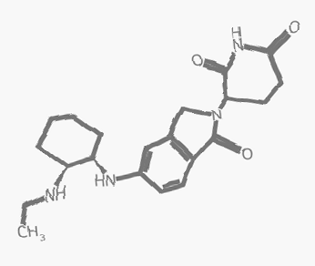 CCN[C@H]1CCCC[C@H]1Nc1ccc2c(c1)CN(C1CCC(=O)NC1=O)C2=O